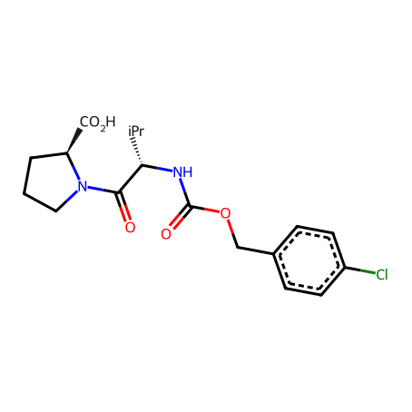 CC(C)[C@H](NC(=O)OCc1ccc(Cl)cc1)C(=O)N1CCC[C@H]1C(=O)O